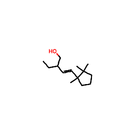 CCC(C=CC1(C)CCCC1(C)C)CO